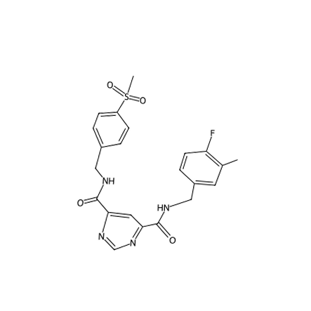 Cc1cc(CNC(=O)c2cc(C(=O)NCc3ccc(S(C)(=O)=O)cc3)ncn2)ccc1F